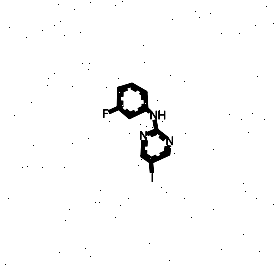 Fc1cccc(Nc2ncc(I)cn2)c1